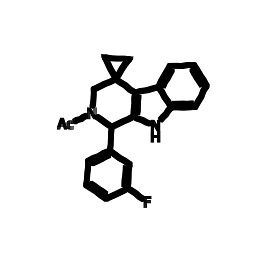 CC(=O)N1CC2(CC2)c2c([nH]c3ccccc23)C1c1cccc(F)c1